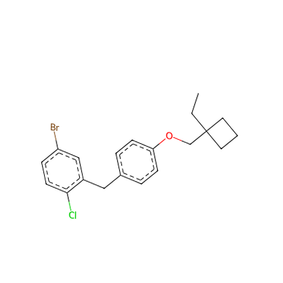 CCC1(COc2ccc(Cc3cc(Br)ccc3Cl)cc2)CCC1